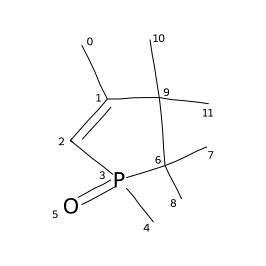 CC1=CP(C)(=O)C(C)(C)C1(C)C